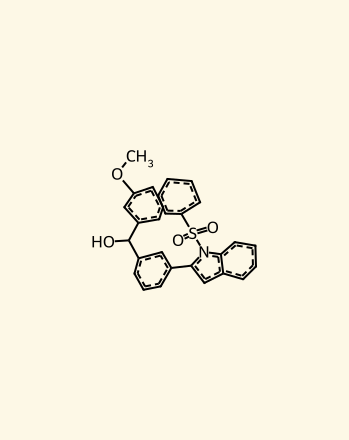 COc1cccc(C(O)c2cccc(-c3cc4ccccc4n3S(=O)(=O)c3ccccc3)c2)c1